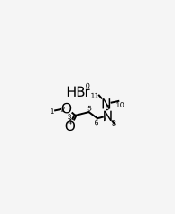 Br.COC(=O)CCN(C)N(C)C